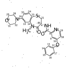 CN1C(=O)[C@@H](NC(=O)c2cc(Oc3ccccc3)ccn2)CSc2ccc(N3CCOCC3)cc21